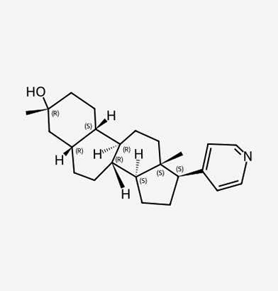 C[C@@]1(O)CC[C@H]2[C@H](CC[C@@H]3[C@@H]2CC[C@]2(C)[C@@H](c4ccncc4)CC[C@@H]32)C1